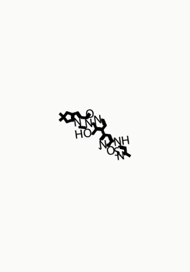 Cc1cc(Nc2cc(-c3ccnc(N4CCn5c(cc6c5CC(C)(C)C6)C4=O)c3CO)cn(C)c2=O)sn1